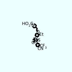 CCc1cc(N2C(=S)N(c3ccc(C#N)c(C(F)(F)F)c3)C(=O)C2(C)C)ccc1OCCC1CCN(C(=O)O)CC1